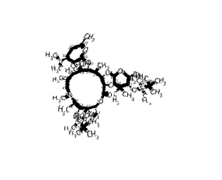 CC[C@H]1OC(=O)[C@H](C)[C@@H](OC2CC(C)(C)[C@@H](O[Si](C)(C)C(C)(C)C)[C@H](C)O2)C(C)[C@@H](OC2O[C@H](C)C[C@H](N(C)C)[C@H]2O)[C@](C)(O)C[C@@H](C)CN(C)[C@H](C)[C@@H](O[Si](C)(C)C(C)(C)C)[C@]1(C)O